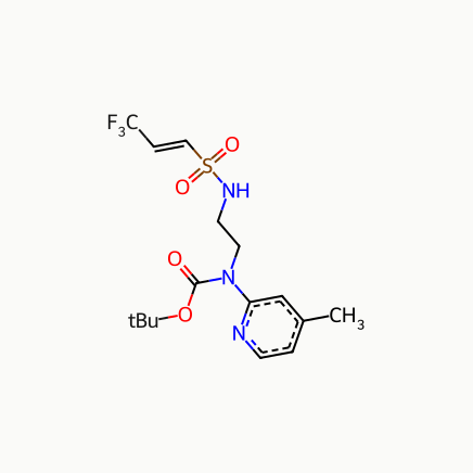 Cc1ccnc(N(CCNS(=O)(=O)C=CC(F)(F)F)C(=O)OC(C)(C)C)c1